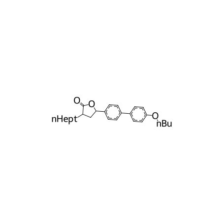 CCCCCCCC1CC(c2ccc(-c3ccc(OCCCC)cc3)cc2)OC1=O